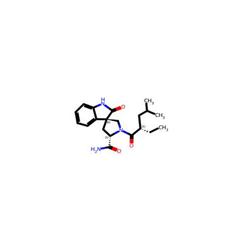 CC[C@@H](CC(C)C)C(=O)N1C[C@]2(C[C@H]1C(N)=O)C(=O)Nc1ccccc12